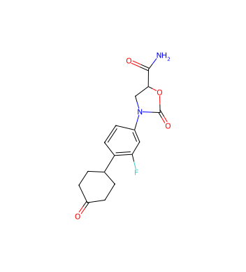 NC(=O)C1CN(c2ccc(C3CCC(=O)CC3)c(F)c2)C(=O)O1